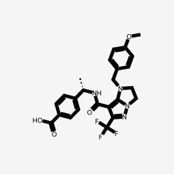 COc1ccc(CN2CCn3nc(C(F)(F)F)c(C(=O)N[C@@H](C)c4ccc(C(=O)O)cc4)c32)cc1